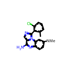 CNc1ccc2nc(N)c3cnc(-c4c(C)cccc4Cl)n3c2c1